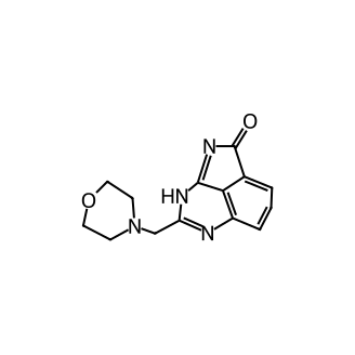 O=C1N=C2NC(CN3CCOCC3)=Nc3cccc1c32